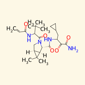 C=CC(=O)NC(C(=O)N1C[C@H]2[C@@H]([C@H]1C(=O)NC(CC1CC1)C(=O)C(N)=O)C2(C)C)C(C)(C)C